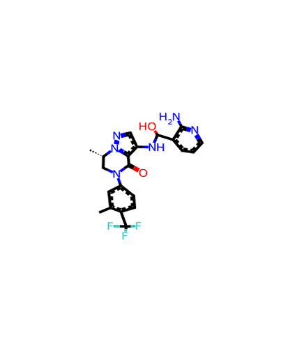 Cc1cc(N2C[C@H](C)n3ncc(NC(O)c4cccnc4N)c3C2=O)ccc1C(F)(F)F